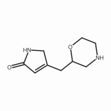 O=C1C=C(CC2CNCCO2)CN1